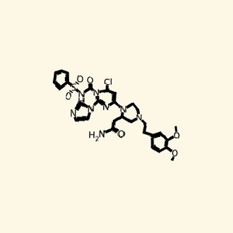 COc1ccc(CCN2CCN(C3=CC(Cl)N(C(=O)NS(=O)(=O)c4ccccc4)C(n4ccnc4)=N3)C(CC(N)=O)C2)cc1OC